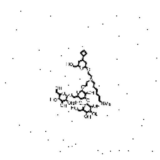 CNCCCCCCN(CCOC1CC(C2CCC2)CC(CO)O1)CCO[C@H]1OC(CO[C@H]2OC(CO)[C@@H](O)C(O)C2O)[C@@H](O)C(O[C@H]2OC(CO)[C@@H](O)C(O)C2O)C1O